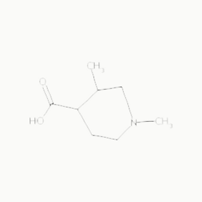 CC1CN(C)CCC1C(=O)O